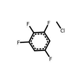 CCl.Fc1cc(F)c(F)c(F)c1